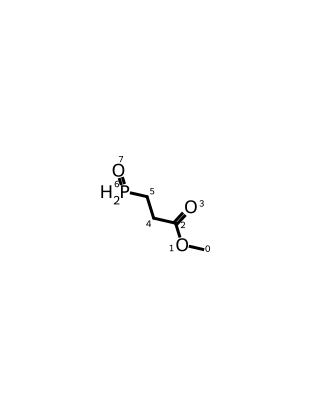 COC(=O)CC[PH2]=O